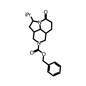 CC(C)C1CC2CN(C(=O)OCc3ccccc3)CC3CCC(=O)N1C32